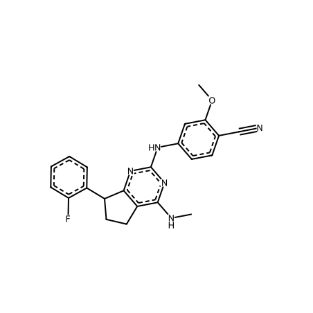 CNc1nc(Nc2ccc(C#N)c(OC)c2)nc2c1CCC2c1ccccc1F